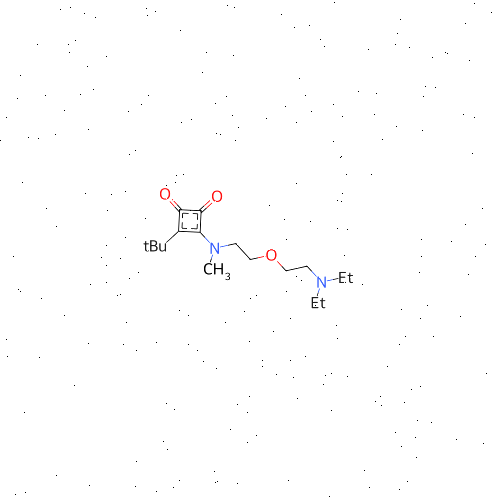 CCN(CC)CCOCCN(C)c1c(C(C)(C)C)c(=O)c1=O